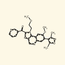 COCCn1c(C(=O)c2cccnc2)nc2cnc3cc(-c4c(C)noc4C)c(OC)cc3c21